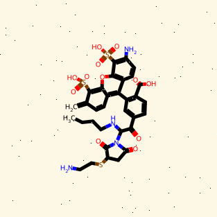 C=c1ccc2c(c1S(=O)(=O)O)Oc1c(ccc(N)c1S(=O)(=O)O)C=2c1cc(C(=O)C(NCCCC)N2C(=O)CC(SCCN)C2=O)ccc1C(=O)O